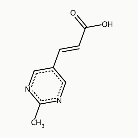 Cc1ncc(C=CC(=O)O)cn1